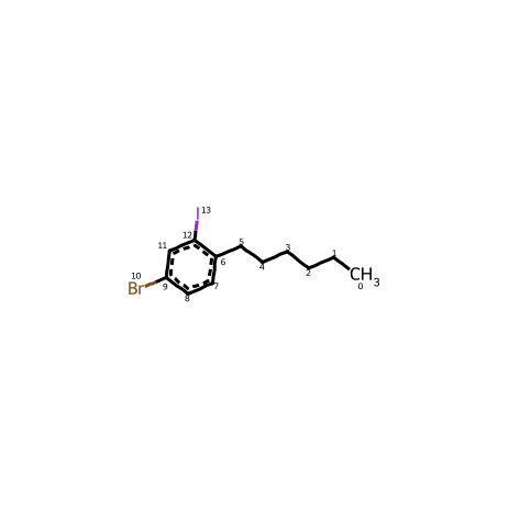 CCCCCCc1ccc(Br)cc1I